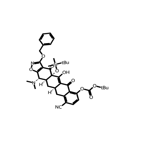 CN(C)[C@@H]1c2onc(OCc3ccccc3)c2C(=O)[C@@]2(O[Si](C)(C)C(C)(C)C)C(O)=C3C(=O)c4c(OC(=O)OC(C)(C)C)ccc(C#N)c4C[C@H]3C[C@@H]12